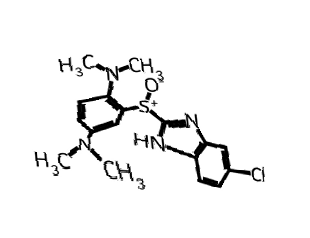 CN(C)c1ccc(N(C)C)c([S+]([O-])c2nc3cc(Cl)ccc3[nH]2)c1